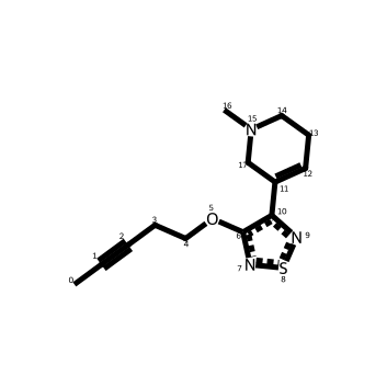 CC#CCCOc1nsnc1C1=CCCN(C)C1